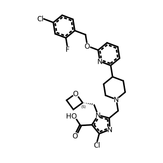 O=C(O)c1c(Cl)nc(CN2CCC(c3cccc(OCc4ccc(Cl)cc4F)n3)CC2)n1C[C@@H]1CCO1